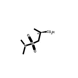 C[C@H](CS(=O)(=O)N(C)C)C(=O)O